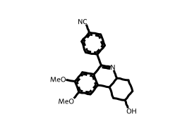 COc1cc2c(cc1OC)C1CC(O)CCC1N=C2c1ccc(C#N)cc1